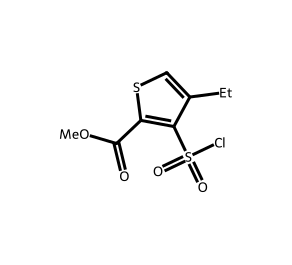 CCc1csc(C(=O)OC)c1S(=O)(=O)Cl